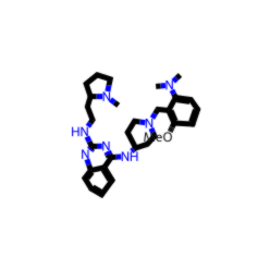 COc1cccc(N(C)C)c1CN1CCC(Nc2nc(NCCC3CCCN3C)nc3ccccc23)CC1